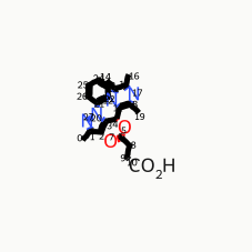 Cc1cc(C(OC(=O)CCC(=O)O)c2nc(C)c(C)nc2C)n(-c2ccccc2)n1